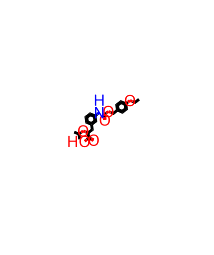 CCOc1ccc(COC(=O)Nc2cccc(CC(OC(C)C)C(=O)O)c2)cc1